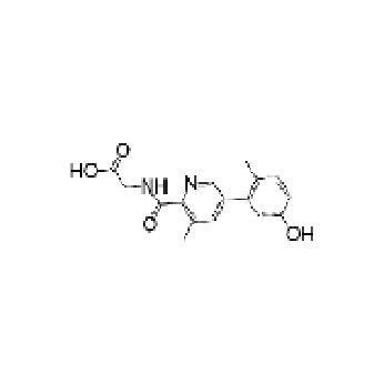 Cc1ccc(O)cc1-c1cnc(C(=O)NCC(=O)O)c(C)c1